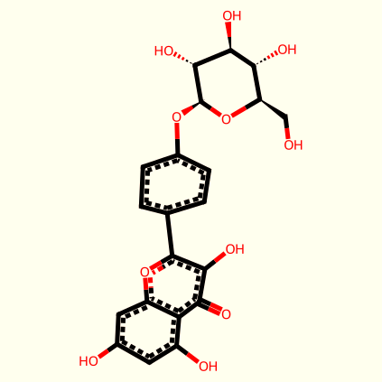 O=c1c(O)c(-c2ccc(O[C@@H]3O[C@H](CO)[C@@H](O)[C@H](O)[C@H]3O)cc2)oc2cc(O)cc(O)c12